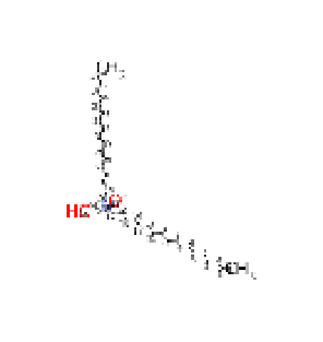 CCCCCCCCCCCCCCCCCC[N+]([O-])(CCO)CCCCCCCCCCCCCCCCCC